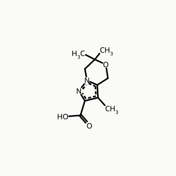 Cc1c(C(=O)O)nn2c1COC(C)(C)C2